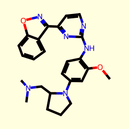 COc1cc(N2CCCC2CN(C)C)ccc1Nc1nccc(-c2noc3ccccc23)n1